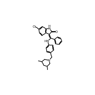 CC1CC(C)CN(Cc2ccc(NC(=C3C(=O)Nc4cc(Cl)ccc43)c3ccccc3)cc2)C1